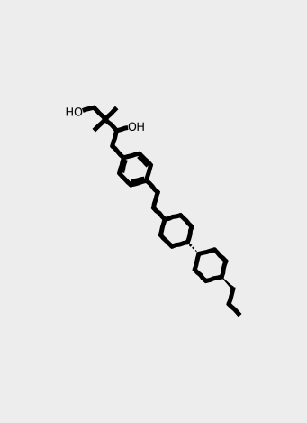 CCC[C@H]1CC[C@H](C2CCC(CCc3ccc(CC(O)C(C)(C)CO)cc3)CC2)CC1